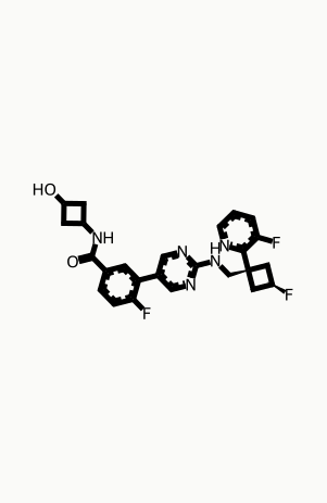 O=C(NC1CC(O)C1)c1ccc(F)c(-c2cnc(NC[C@]3(c4ncccc4F)C[C@H](F)C3)nc2)c1